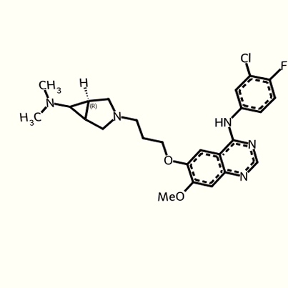 COc1cc2ncnc(Nc3ccc(F)c(Cl)c3)c2cc1OCCCN1CC2C(N(C)C)[C@H]2C1